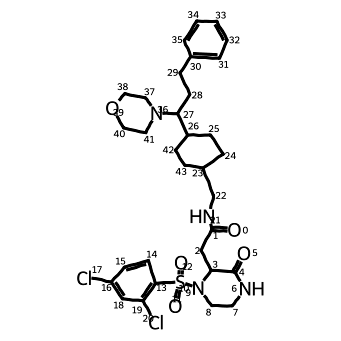 O=C(CC1C(=O)NCCN1S(=O)(=O)c1ccc(Cl)cc1Cl)NCC1CCC(C(CCc2ccccc2)N2CCOCC2)CC1